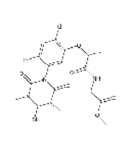 COC(=O)CNC(=O)C(C)Oc1cc(N2C(=O)N(C)C(S)N(C)C2=O)c(F)cc1Cl